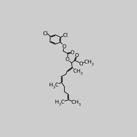 COC(=O)C(OC(=O)COc1ccc(Cl)cc1Cl)C(C)=CCC=C(C)CCC=C(C)C